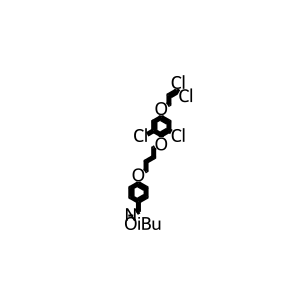 CC(C)CON=Cc1ccc(OCCCCOc2c(Cl)cc(OCC=C(Cl)Cl)cc2Cl)cc1